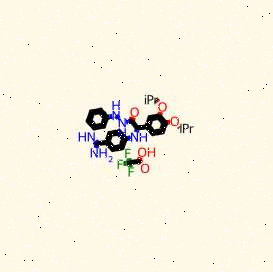 CC(C)Oc1ccc(C(Nc2ccc(C(=N)N)cc2)C(=O)NNc2ccccc2)cc1OC(C)C.O=C(O)C(F)(F)F